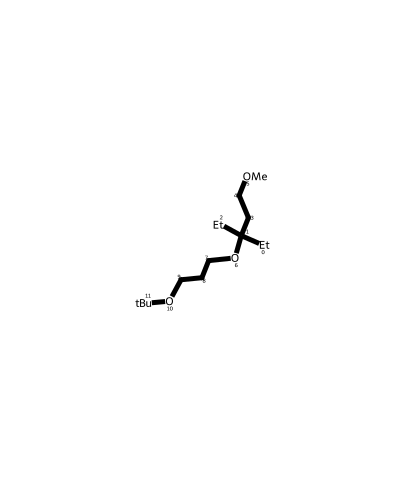 CCC(CC)(CCOC)OCCCOC(C)(C)C